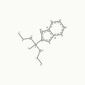 CCO[Si](C)(OCC)c1cc2ccccc2o1